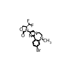 CN1CCn2cc(N3C(=O)OC[C@H]3C(F)F)nc2-c2ccc(Br)cc21